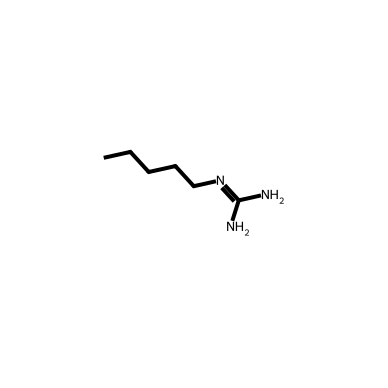 CCCCCN=C(N)N